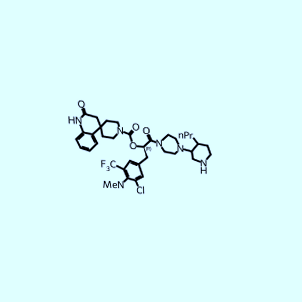 CCCC1CCNCC1N1CCN(C(=O)[C@@H](Cc2cc(Cl)c(NC)c(C(F)(F)F)c2)OC(=O)N2CCC3(CC2)CC(=O)Nc2ccccc23)CC1